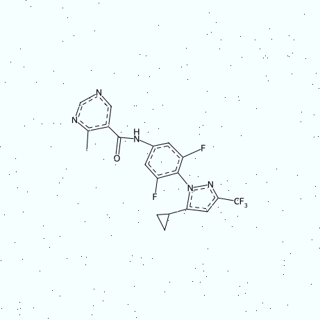 Cc1ncncc1C(=O)Nc1cc(F)c(-n2nc(C(F)(F)F)cc2C2CC2)c(F)c1